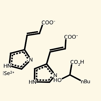 CCCCC(O)C(=O)O.O=C([O-])C=Cc1c[nH]cn1.O=C([O-])C=Cc1c[nH]cn1.[Se+2]